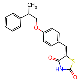 CC(COc1ccc(/C=C2/SC(=O)NC2=O)cc1)c1ccccc1